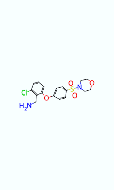 NCc1c(Cl)cccc1Oc1ccc(S(=O)(=O)N2CCOCC2)cc1